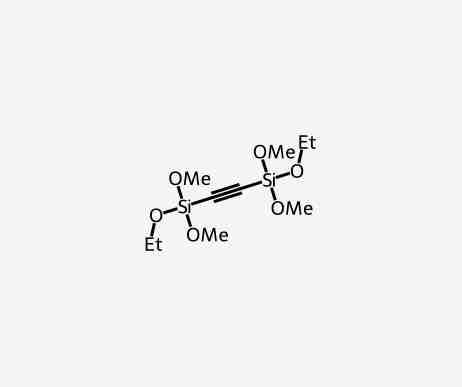 CCO[Si](C#C[Si](OC)(OC)OCC)(OC)OC